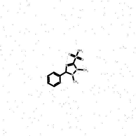 CN1C(S(N)(=O)=O)=NC(c2ccccc2)N1C